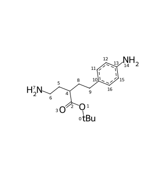 CC(C)(C)OC(=O)C(CCN)CCc1ccc(N)cc1